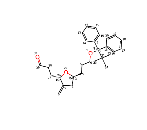 C=C1C[C@H](CCCO[Si](c2ccccc2)(c2ccccc2)C(C)(C)C)O[C@H]1CCC=O